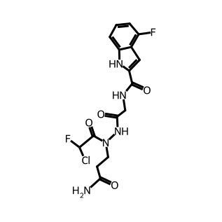 NC(=O)CCN(NC(=O)CNC(=O)c1cc2c(F)cccc2[nH]1)C(=O)C(F)Cl